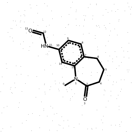 CN1C(=O)CCCc2ccc(NC=O)cc21